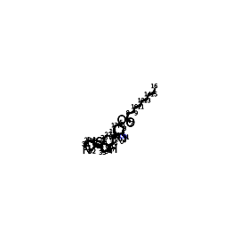 C/C=C1/C[C@@H](OC(=O)CCCCCCCCC)CC[C@]1(C)[C@H]1CC[C@]2(S)C(c3cccnc3)=CC[C@H]2C1